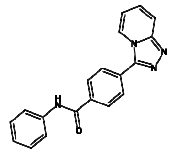 O=C(Nc1ccccc1)c1ccc(-c2nnc3ccccn23)cc1